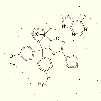 COc1ccc(C(c2ccccc2)(c2ccc(OC)cc2)C(OC(=O)c2ccccc2)[C@H]2O[C@@H](n3cnc4c(N)ncnc43)C[C@@H]2O)cc1